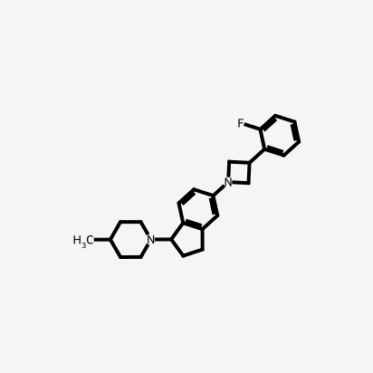 CC1CCN(C2CCc3cc(N4CC(c5ccccc5F)C4)ccc32)CC1